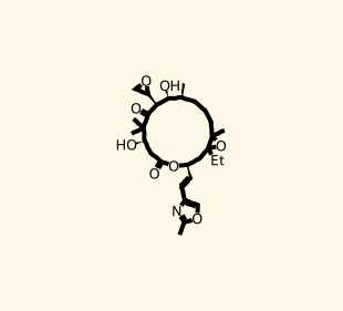 CCC12C[C@@H](C=Cc3coc(C)n3)OC(=O)C[C@H](O)C(C)(C)C(=O)[C@@H](C3CO3)[C@H](O)[C@@H](C)CCCC1(C)O2